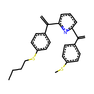 C=C(c1ccc(SC)cc1)c1cccc(C(=C)c2ccc(SCCCC)cc2)n1